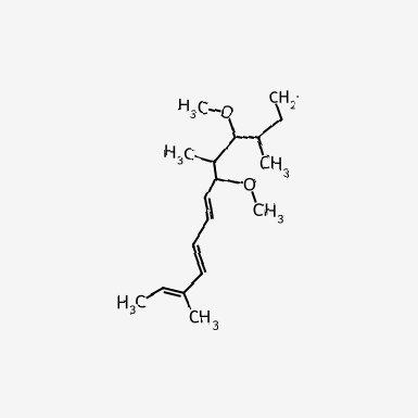 [CH2]CC(C)C(OC)C(C)C(C=CC=CC(C)=CC)OC